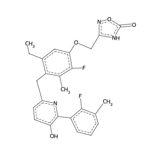 CCc1cc(OCc2noc(=O)[nH]2)c(F)c(C)c1Cc1ccc(O)c(-c2cccc(C)c2F)n1